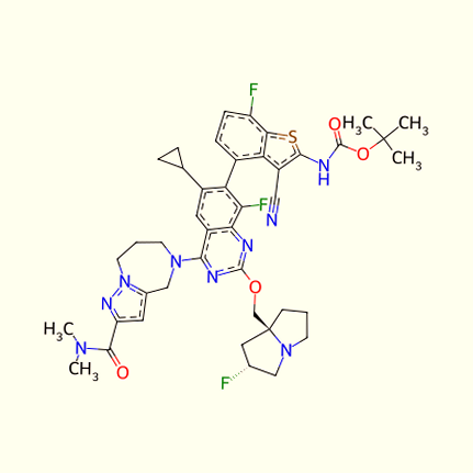 CN(C)C(=O)c1cc2n(n1)CCCN(c1nc(OC[C@@]34CCCN3C[C@H](F)C4)nc3c(F)c(-c4ccc(F)c5sc(NC(=O)OC(C)(C)C)c(C#N)c45)c(C4CC4)cc13)C2